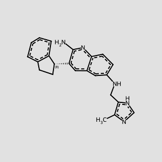 Cc1nc[nH]c1CNc1ccc2nc(N)c([C@@H]3CCc4ccccc43)cc2c1